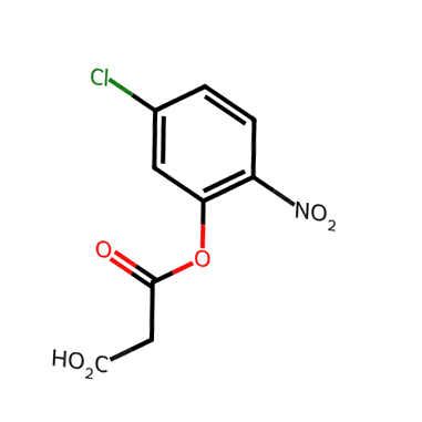 O=C(O)CC(=O)Oc1cc(Cl)ccc1[N+](=O)[O-]